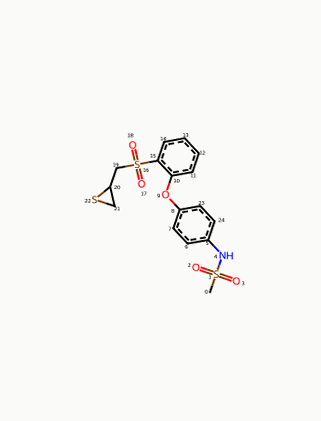 CS(=O)(=O)Nc1ccc(Oc2ccccc2S(=O)(=O)CC2CS2)cc1